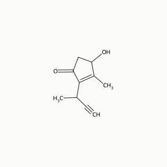 C#CC(C)C1=C(C)C(O)CC1=O